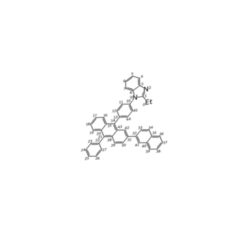 CCc1nc2ccccc2n1-c1ccc(-c2c3ccccc3c(-c3ccccc3)c3ccc(-c4ccc5ccccc5c4)cc23)cc1